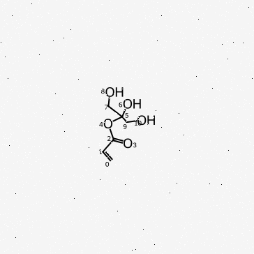 C=CC(=O)OC(O)(CO)CO